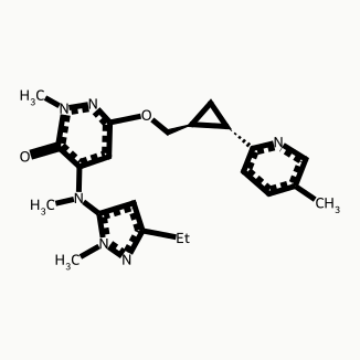 CCc1cc(N(C)c2cc(OC[C@H]3C[C@@H]3c3ccc(C)cn3)nn(C)c2=O)n(C)n1